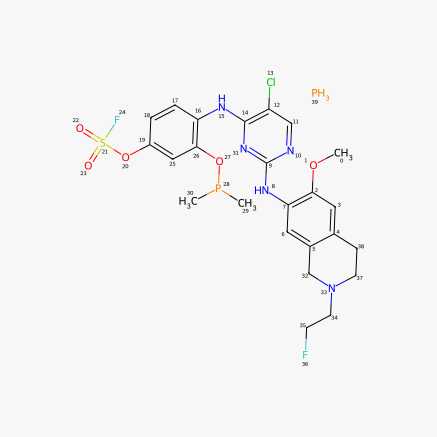 COc1cc2c(cc1Nc1ncc(Cl)c(Nc3ccc(OS(=O)(=O)F)cc3OP(C)C)n1)CN(CCF)CC2.P